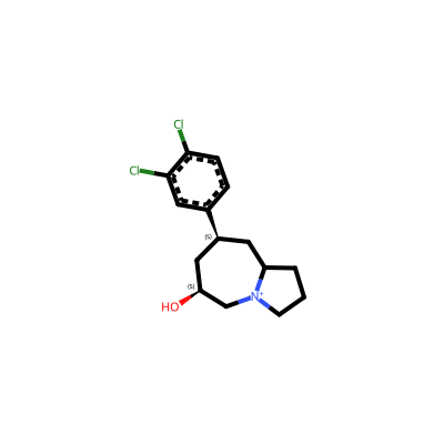 O[C@H]1C[C@@H](c2ccc(Cl)c(Cl)c2)CC2CCC[N+]2C1